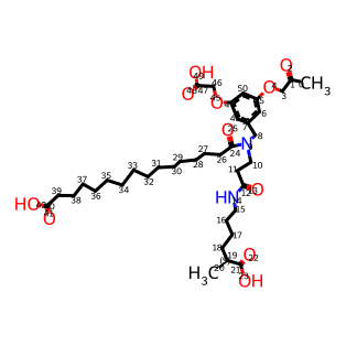 CC(=O)COc1cc(CN(CCC(=O)NCCCC[C@H](C)C(=O)O)C(=O)CCCCCCCCCCCCCCC(=O)O)cc(OCC(=O)O)c1